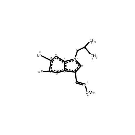 CO/N=C/c1cn(CC(C)C(F)(F)F)c2cc(Br)c(F)cc12